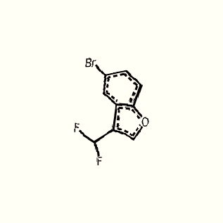 FC(F)c1coc2ccc(Br)cc12